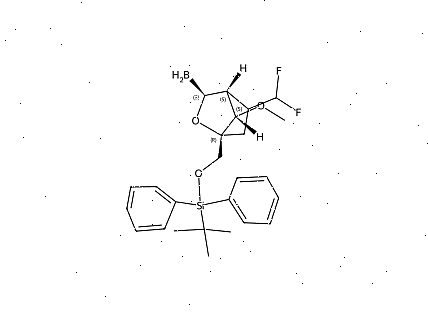 B[C@@H]1O[C@@]2(CO[Si](c3ccccc3)(c3ccccc3)C(C)(C)C)CC(C(F)F)[C@@H]1[C@@H]2OC